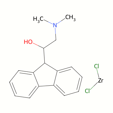 CN(C)CC(O)C1c2ccccc2-c2ccccc21.[Cl][Zr][Cl]